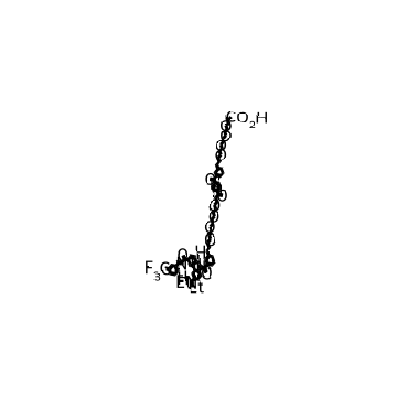 CCN(CC)c1ccc(NC(=O)c2cccc(CCCOCCOCCOCCOCCC(=O)N3CCN(C(=O)c4cccc(CCCOCCOCCOCCOCCC(=O)O)c4)CC3)c2)c(-c2cc(C(=O)NCc3cccc(C(F)(F)F)c3)ccn2)c1